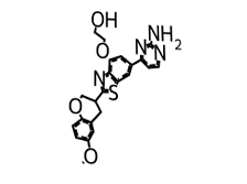 COc1ccc2c(c1)CC(c1nc3c(OCCO)cc(-c4ccnc(N)n4)cc3s1)CO2